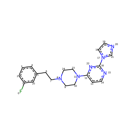 Fc1cccc(CCN2CCN(c3ccnc(-n4ccnc4)n3)CC2)c1